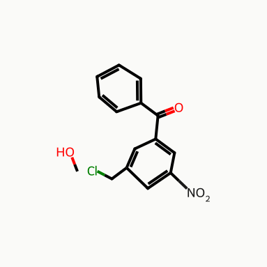 CO.O=C(c1ccccc1)c1cc(CCl)cc([N+](=O)[O-])c1